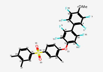 COc1c(F)c(F)c(-c2c(F)c(F)c(Oc3ccc(S(=O)(=O)c4ccc(C)c(C)c4)cc3C)c(F)c2F)c(F)c1F